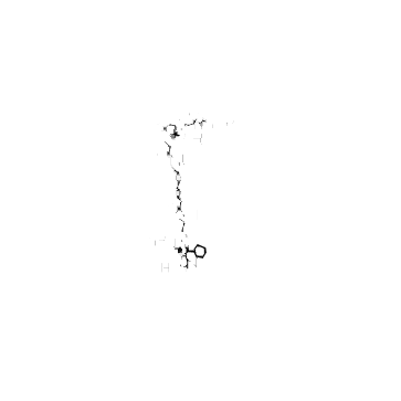 CCCCCCCCCCCNC(=O)CSC1CC(=O)N(CCC(=O)NCCOCCOCCC(=O)NCCCCn2c(CCCC)nc3c(N)nc4ccccc4c32)C1=O